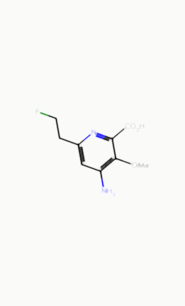 COc1c(N)cc(CCF)nc1C(=O)O